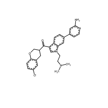 CN(C)CCn1cc(C(=O)C2COc3ccc(Cl)cc3C2)c2ccc(-c3ccnc(N)c3)cc21